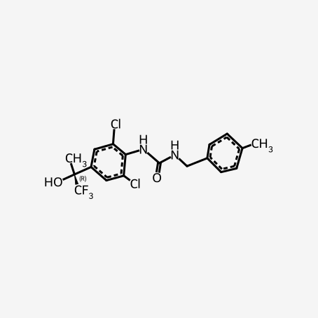 Cc1ccc(CNC(=O)Nc2c(Cl)cc([C@@](C)(O)C(F)(F)F)cc2Cl)cc1